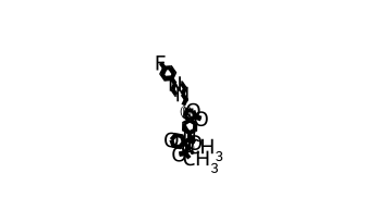 CC(=O)N(C)C1(C(=O)N2CCC3(CC2)C[C@H](CCN2CCN(c4ccc(F)cc4)CC2)OC3=O)CCOCC1